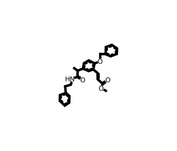 COC(=O)C=Cc1cc(C(C)C(=O)NCCc2ccccc2)ccc1OCc1ccccc1